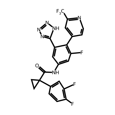 O=C(Nc1cc(F)c(-c2ccnc(C(F)(F)F)c2)c(-c2nnn[nH]2)c1)C1(c2ccc(F)c(F)c2)CC1